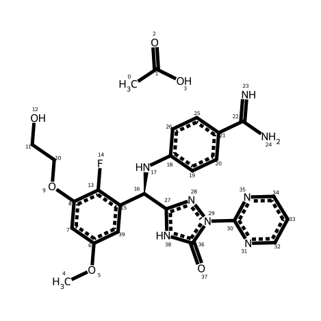 CC(=O)O.COc1cc(OCCO)c(F)c([C@@H](Nc2ccc(C(=N)N)cc2)c2nn(-c3ncccn3)c(=O)[nH]2)c1